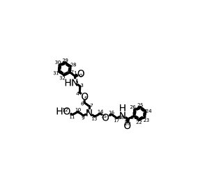 O=C(NCCOCCN(CCCO)CCOCCNC(=O)c1ccccc1)c1ccccc1